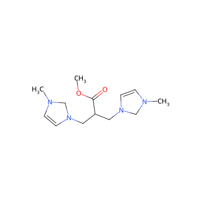 COC(=O)C(CN1C=CN(C)C1)CN1C=CN(C)C1